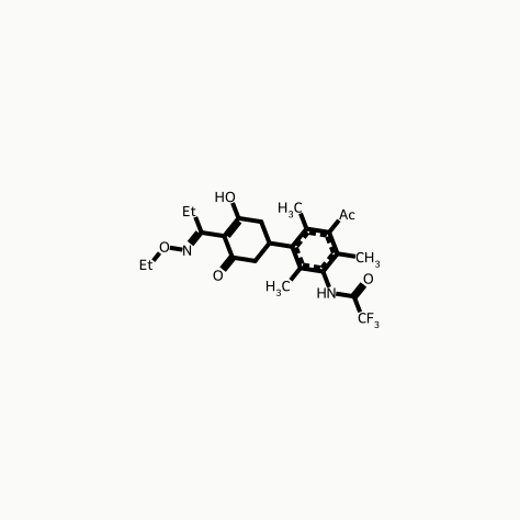 CCON=C(CC)C1=C(O)CC(c2c(C)c(NC(=O)C(F)(F)F)c(C)c(C(C)=O)c2C)CC1=O